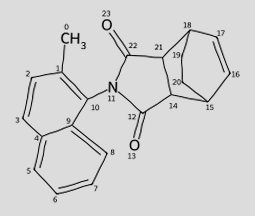 Cc1ccc2ccccc2c1N1C(=O)C2C3C=CC(CC3)C2C1=O